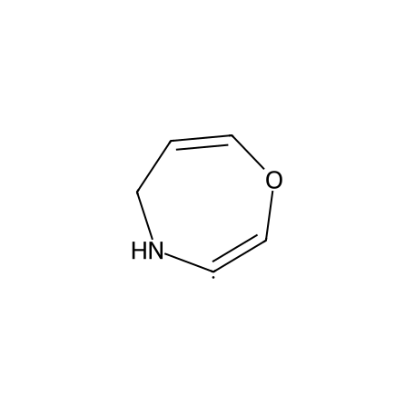 [C]1=COC=CCN1